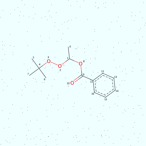 CC(OOC(C)(C)C)OC(=O)c1ccccc1